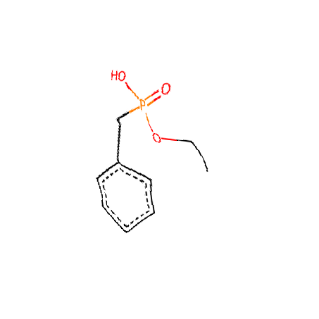 CCOP(=O)(O)Cc1ccccc1